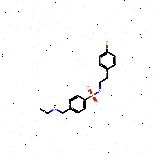 CCNCc1ccc(S(=O)(=O)NCCc2ccc(F)cc2)cc1